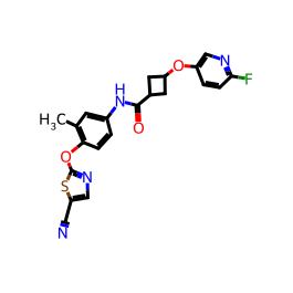 Cc1cc(NC(=O)C2CC(Oc3ccc(F)nc3)C2)ccc1Oc1ncc(C#N)s1